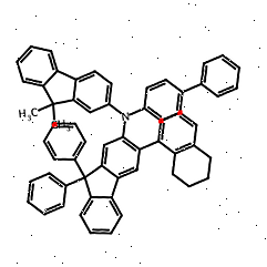 CC1(C)c2ccccc2-c2ccc(N(c3ccc(-c4ccccc4)cc3)c3cc4c(cc3-c3cccc5c3CCCC5)-c3ccccc3C4(c3ccccc3)c3ccccc3)cc21